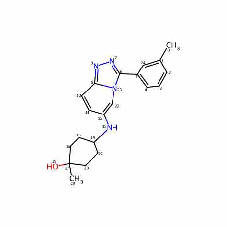 Cc1cccc(-c2nnc3ccc(NC4CCC(C)(O)CC4)cn23)c1